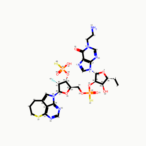 CC[C@H]1O[C@@H](n2cnc3c(=O)n(CCN)cnc32)[C@H](OP(=O)(S)OC[C@H]2O[C@@H](n3cc4c5c(ncnc53)SCCC4)[C@H](F)[C@@H]2OP(=O)(O)S)[C@@H]1O